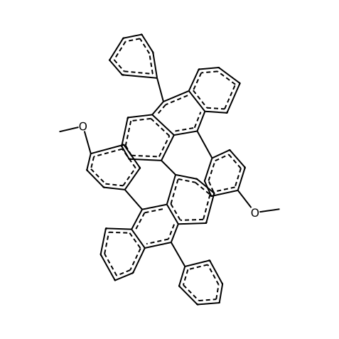 COc1ccc(-c2c3ccccc3c(-c3ccccc3)c3cccc(-c4cccc5c(-c6ccccc6)c6ccccc6c(-c6ccc(OC)cc6)c45)c23)cc1